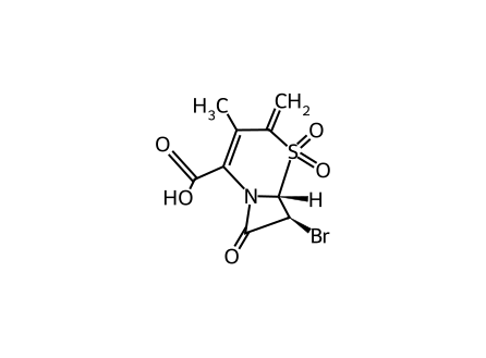 C=C1C(C)=C(C(=O)O)N2C(=O)[C@H](Br)[C@H]2S1(=O)=O